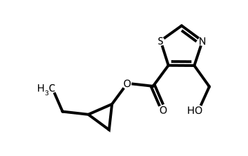 CCC1CC1OC(=O)c1scnc1CO